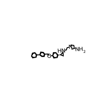 N[C@@H]1CCN(CCN[C@@H]2C[C@H]2c2ccc(OCc3ccc(-c4ccccc4)cc3)cc2)C1